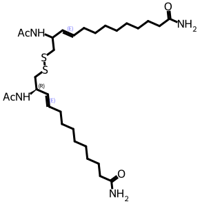 CC(=O)NC(/C=C/CCCCCCCCC(N)=O)CSSC[C@@H](/C=C/CCCCCCCCC(N)=O)NC(C)=O